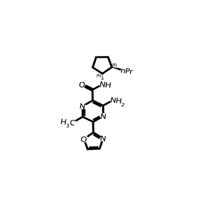 CCC[C@@H]1CCC[C@H]1NC(=O)c1nc(C)c(-c2ncco2)nc1N